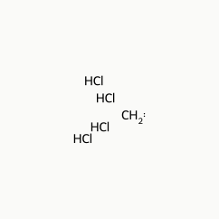 Cl.Cl.Cl.Cl.[CH2]